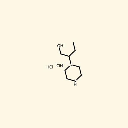 CCC(CO)N1CCNCC1.Cl.Cl